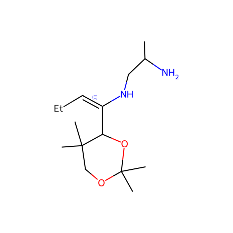 CC/C=C(/NCC(C)N)C1OC(C)(C)OCC1(C)C